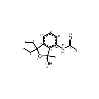 CCC1(CC)OC(C)(O)c2c(NC(C)=O)cccc21